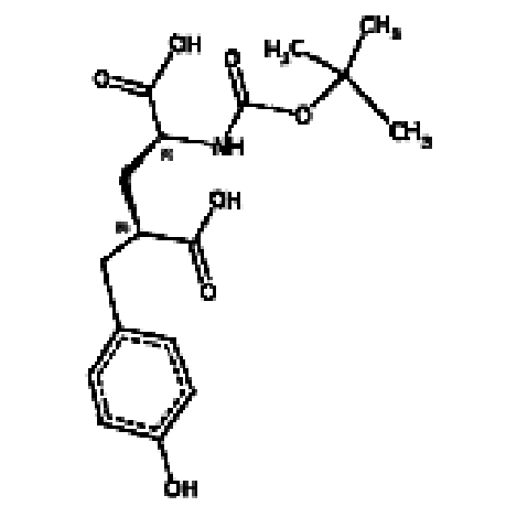 CC(C)(C)OC(=O)N[C@@H](C[C@H](Cc1ccc(O)cc1)C(=O)O)C(=O)O